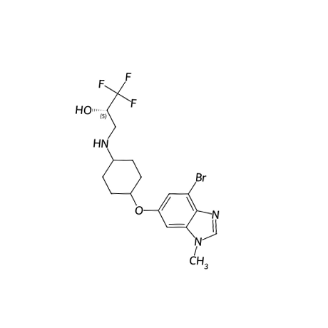 Cn1cnc2c(Br)cc(OC3CCC(NC[C@H](O)C(F)(F)F)CC3)cc21